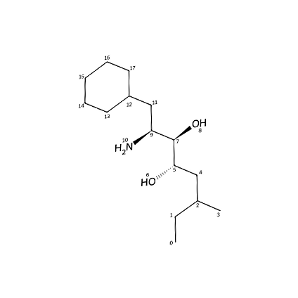 CCC(C)C[C@H](O)[C@H](O)[C@@H](N)CC1CCCCC1